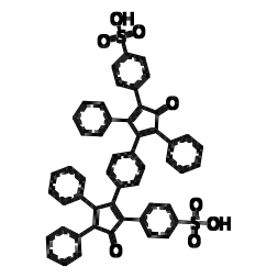 O=C1C(c2ccc(S(=O)(=O)O)cc2)=C(c2ccccc2)C(c2ccc(C3=C(c4ccc(S(=O)(=O)O)cc4)C(=O)C(c4ccccc4)=C3c3ccccc3)cc2)=C1c1ccccc1